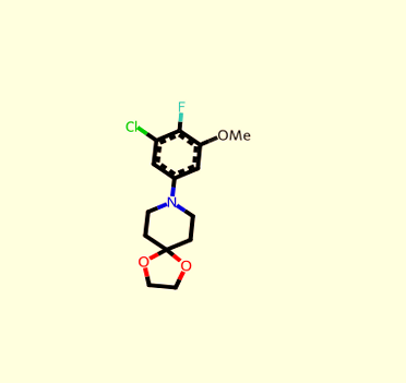 COc1cc(N2CCC3(CC2)OCCO3)cc(Cl)c1F